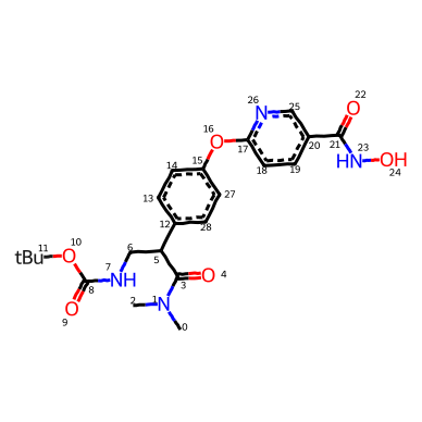 CN(C)C(=O)C(CNC(=O)OC(C)(C)C)c1ccc(Oc2ccc(C(=O)NO)cn2)cc1